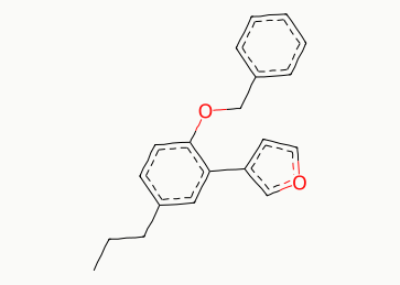 CCCc1ccc(OCc2ccccc2)c(-c2ccoc2)c1